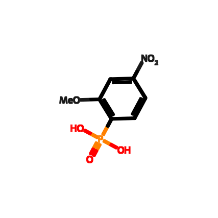 COc1cc([N+](=O)[O-])ccc1P(=O)(O)O